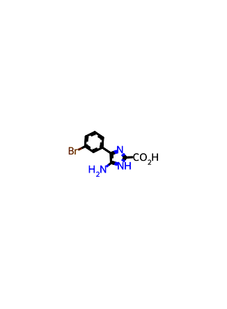 Nc1[nH]c(C(=O)O)nc1-c1cccc(Br)c1